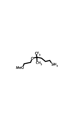 COCCOC(C)(CCC[SiH3])C(F)(F)F